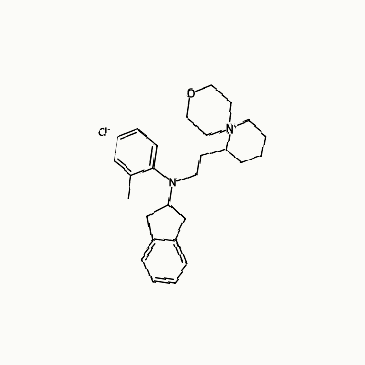 Cc1ccccc1N(CCC1CCCC[N+]12CCOCC2)C1Cc2ccccc2C1.[Cl-]